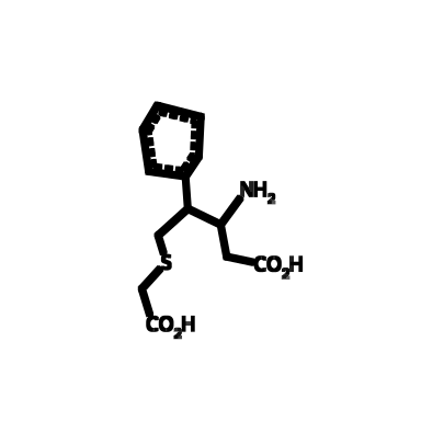 NC(CC(=O)O)C(CSCC(=O)O)c1ccccc1